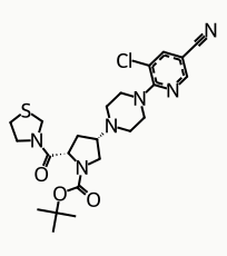 CC(C)(C)OC(=O)N1C[C@@H](N2CCN(c3ncc(C#N)cc3Cl)CC2)C[C@H]1C(=O)N1CCSC1